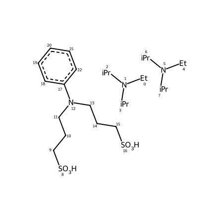 CCN(C(C)C)C(C)C.CCN(C(C)C)C(C)C.O=S(=O)(O)CCCN(CCCS(=O)(=O)O)c1ccccc1